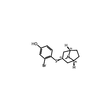 CN1[C@@H]2CC[C@H]1C[C@H](Sc1ccc(O)cc1Br)C2